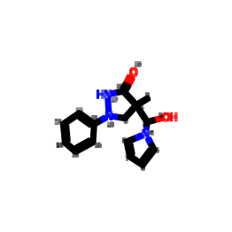 CC1(C(O)n2cccc2)CN(c2ccccc2)NC1=O